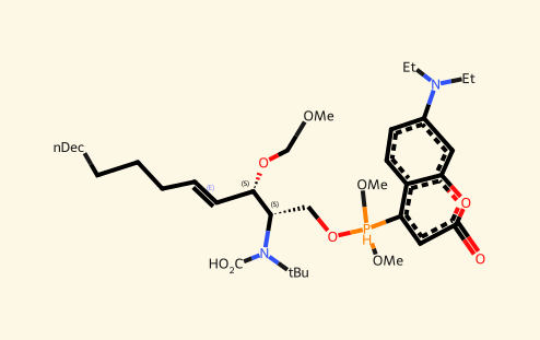 CCCCCCCCCCCCC/C=C/[C@H](OCOC)[C@H](CO[PH](OC)(OC)c1cc(=O)oc2cc(N(CC)CC)ccc12)N(C(=O)O)C(C)(C)C